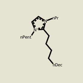 CCCCCCCCCCCCCCc1n(CCC)cc[n+]1CCCCC